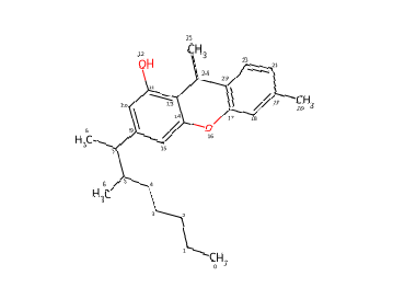 CCCCCC(C)C(C)c1cc(O)c2c(c1)Oc1cc(C)ccc1C2C